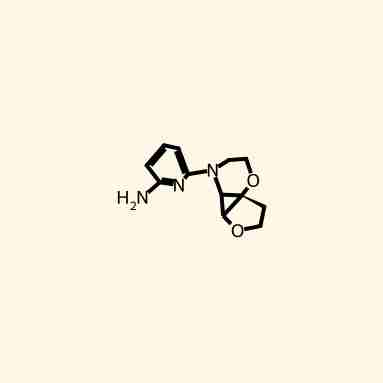 Nc1cccc(N2CCO[C@]34CCOC3C24)n1